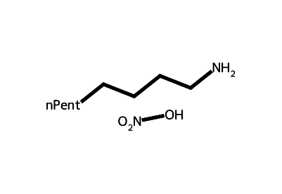 CCCCCCCCCN.O=[N+]([O-])O